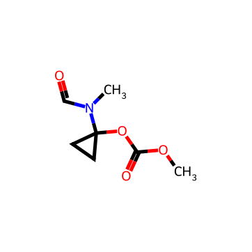 COC(=O)OC1(N(C)C=O)CC1